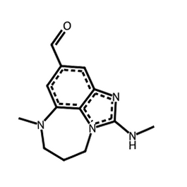 CNc1nc2cc(C=O)cc3c2n1CCCN3C